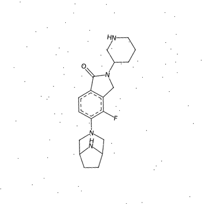 O=C1c2ccc(N3CC4CCC(C3)N4)c(F)c2CN1C1CCCNC1